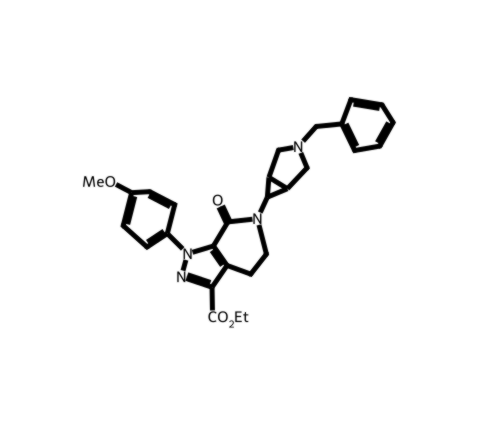 CCOC(=O)c1nn(-c2ccc(OC)cc2)c2c1CCN(C1C3CN(Cc4ccccc4)CC31)C2=O